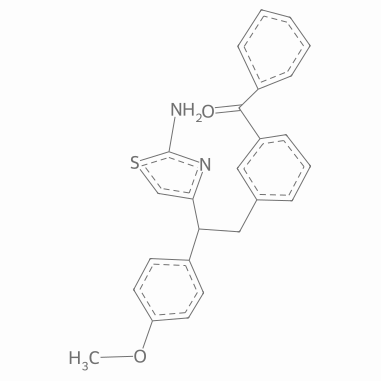 COc1ccc(C(Cc2cccc(C(=O)c3ccccc3)c2)c2csc(N)n2)cc1